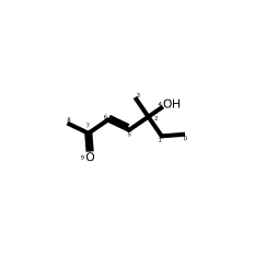 CCC(C)(O)/C=C/C(C)=O